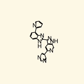 c1ccc(-c2cccc3[nH]c(-c4n[nH]c5cnc(-c6cncnc6)cc45)nc23)nc1